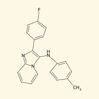 Cc1ccc(Nc2c(-c3ccc(F)cc3)nc3ccccn23)cc1